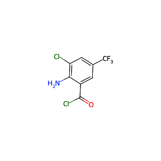 Nc1c(Cl)cc(C(F)(F)F)cc1C(=O)Cl